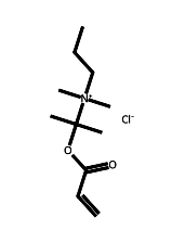 C=CC(=O)OC(C)(C)[N+](C)(C)CCC.[Cl-]